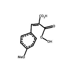 COc1ccc(C=C(C(=O)O)C(=O)OO)cc1